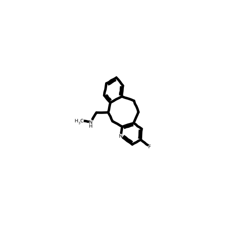 CNCC1Cc2ncc(F)cc2CCc2ccccc21